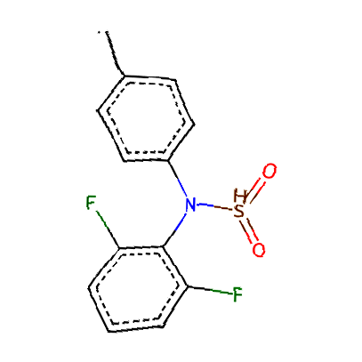 [CH2]c1ccc(N(c2c(F)cccc2F)[SH](=O)=O)cc1